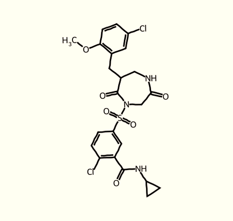 COc1ccc(Cl)cc1CC1CNC(=O)CN(S(=O)(=O)c2ccc(Cl)c(C(=O)NC3CC3)c2)C1=O